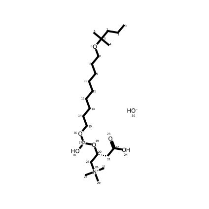 CCCC(C)(C)OCCCCCCCCCOP(O)O[C@H](CC(=O)O)C[N+](C)(C)C.[OH-]